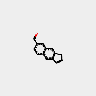 O=Cc1ccc2cc3c(cc2c1)CC=C3